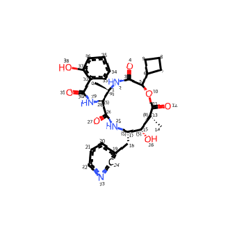 C[C@H]1NC(=O)C(C2CCC2)OC(=O)[C@H](C)[C@H](O)[C@H](Cc2cccnc2)NC(=O)[C@H]1NC(=O)c1ccccc1O